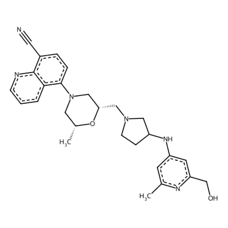 Cc1cc(NC2CCN(C[C@H]3CN(c4ccc(C#N)c5ncccc45)C[C@@H](C)O3)C2)cc(CO)n1